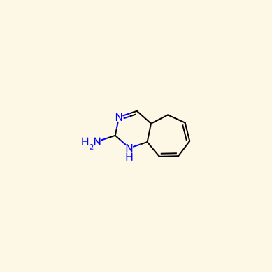 NC1N=CC2CC=CC=CC2N1